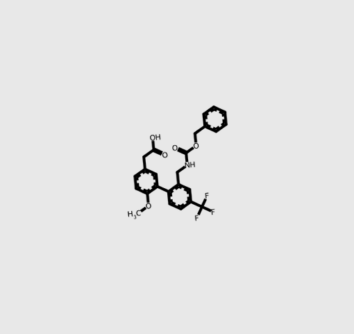 COc1ccc(CC(=O)O)cc1-c1ccc(C(F)(F)F)cc1CNC(=O)OCc1ccccc1